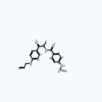 C=CCOc1ccc(C(=O)C(C)OC(=O)c2ccc(OCCCCCC)cc2)cc1